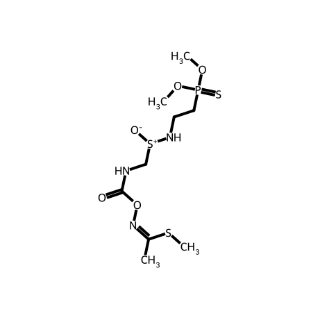 COP(=S)(CCN[S+]([O-])CNC(=O)ON=C(C)SC)OC